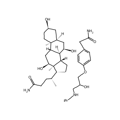 CC(C)NCC(O)COc1ccc(CC(N)=O)cc1.C[C@H](CCC(N)=O)[C@H]1CC[C@H]2[C@@H]3[C@H](O)C[C@@H]4C[C@H](O)CC[C@]4(C)[C@H]3C[C@H](O)[C@]12C